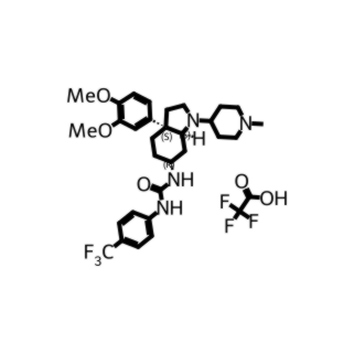 COc1ccc([C@@]23CC[C@@H](NC(=O)Nc4ccc(C(F)(F)F)cc4)C[C@@H]2N(C2CCN(C)CC2)CC3)cc1OC.O=C(O)C(F)(F)F